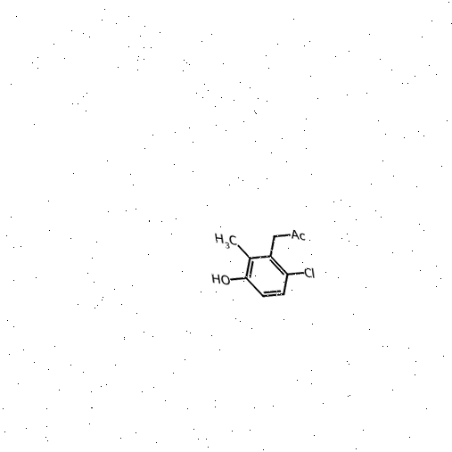 CC(=O)Cc1c(Cl)ccc(O)c1C